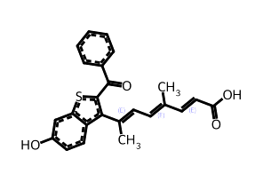 CC(/C=C/C(=O)O)=C\C=C(/C)c1c(C(=O)c2ccccc2)sc2cc(O)ccc12